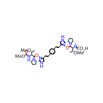 COC(=O)N[C@H](C(=O)N1CCC[C@H]1c1nc(/C=C/c2ccc(/C=C/c3c[nH]c([C@@H]4CCCN4C(=O)[C@H]([C@@H](C)OC)N(C)C(=O)O)n3)cc2)c[nH]1)[C@@H](C)OC